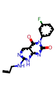 C=CCNc1ncc2c(=O)n(-c3cccc(F)c3)c(=O)nc-2[nH]1